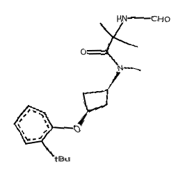 CN(C(=O)C(C)(C)NC=O)[C@H]1C[C@@H](Oc2ccccc2C(C)(C)C)C1